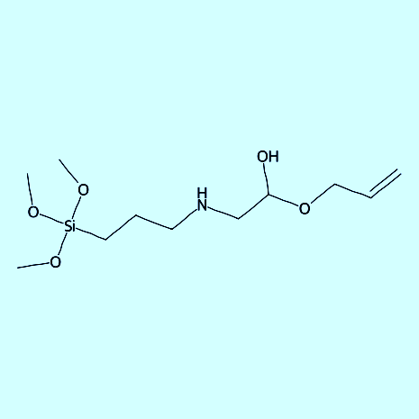 C=CCOC(O)CNCCC[Si](OC)(OC)OC